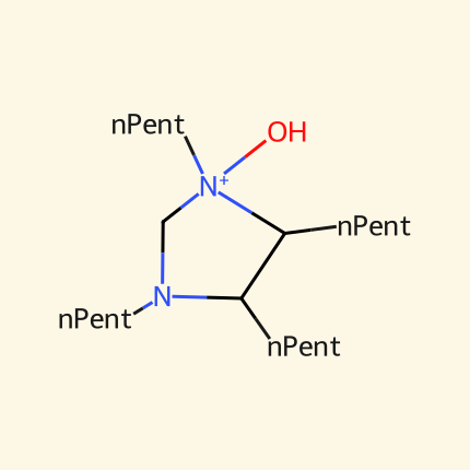 CCCCCC1C(CCCCC)[N+](O)(CCCCC)CN1CCCCC